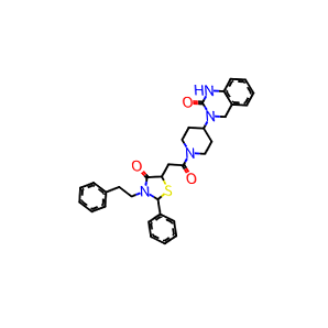 O=C(CC1SC(c2ccccc2)N(CCc2ccccc2)C1=O)N1CCC(N2Cc3ccccc3NC2=O)CC1